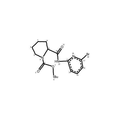 CC(C)(C)OC(=O)N1CCCCC1C(=O)Nc1cccc(Br)n1